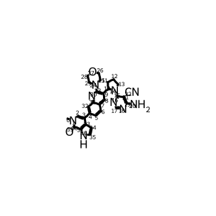 Cn1cc(-c2ccc3cc(C4CCCN4c4ncnc(N)c4C#N)c(N4CCOCC4)nc3c2)c2cc[nH]c2c1=O